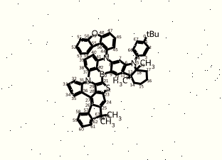 CC(C)(C)c1ccc(N2c3cc4c(cc3C3(C)CCCCC23C)B2c3sc5cc6c(c7c5c3N(c3ccccc3-7)c3cccc(c32)N4c2cccc3oc4ccccc4c23)-c2ccccc2C6(C)C)cc1